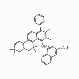 COc1c(C)c(C)c(-c2ccccc2)c2ccc3c(c12)C(C)(C)CC1=C3C=CC(C)(C)C1.O=C(O)c1ccc2ccccc2c1